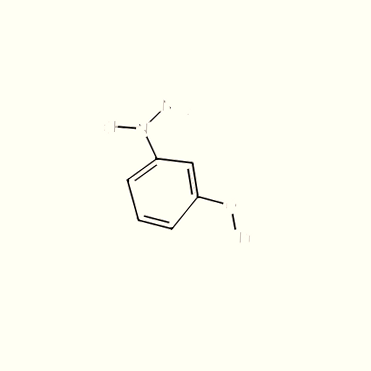 CC(C)Oc1cccc(N(N)Cl)c1